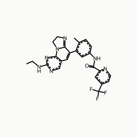 CCNc1ncc2c(n1)N1CCN=C1C(c1cc(NC(=O)c3cc(C(F)(F)F)ccn3)ccc1C)=C2